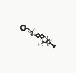 O=C(NC1CC2(C1)CC(Oc1nc(C3CC3)sc1C(=O)O)C2)OCc1ccccc1